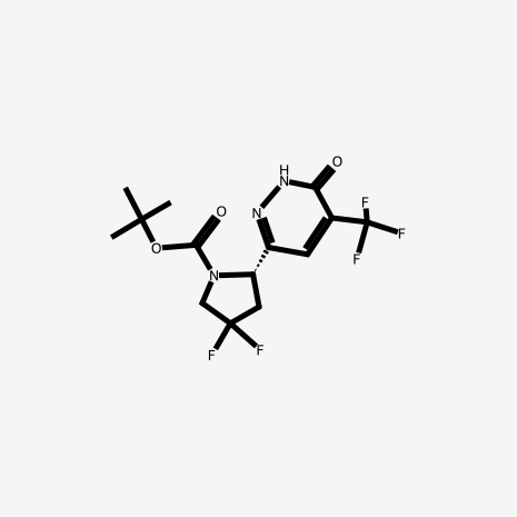 CC(C)(C)OC(=O)N1CC(F)(F)C[C@H]1c1cc(C(F)(F)F)c(=O)[nH]n1